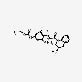 CCOC(=O)Oc1cc(C)c(C[C@@H](N)C(=O)N2CC(C)Cc3ccccc32)c(Br)c1